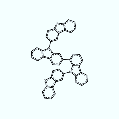 c1ccc2c(c1)oc1ccc(-n3c4ccccc4c4ccc(-c5cccc6c7ccccc7n(-c7ccc8sc9ccccc9c8c7)c56)cc43)cc12